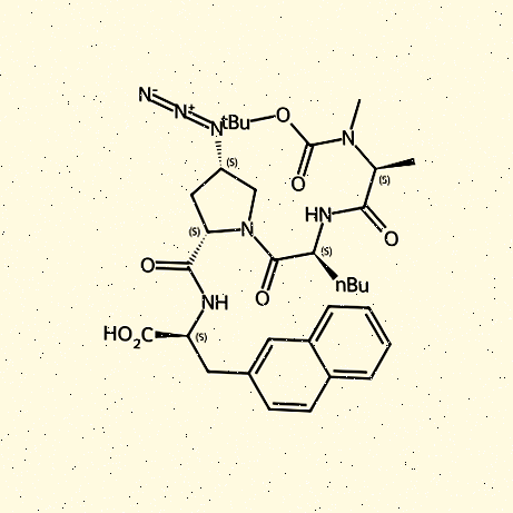 CCCC[C@H](NC(=O)[C@H](C)N(C)C(=O)OC(C)(C)C)C(=O)N1C[C@@H](N=[N+]=[N-])C[C@H]1C(=O)N[C@@H](Cc1ccc2ccccc2c1)C(=O)O